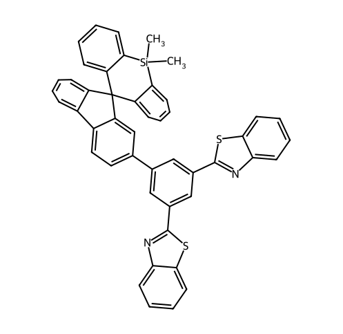 C[Si]1(C)c2ccccc2C2(c3ccccc3-c3ccc(-c4cc(-c5nc6ccccc6s5)cc(-c5nc6ccccc6s5)c4)cc32)c2ccccc21